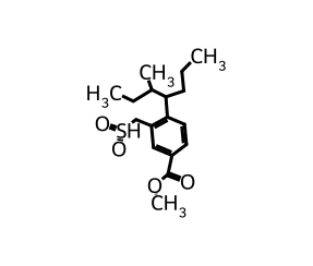 CCCC(c1ccc(C(=O)OC)cc1C[SH](=O)=O)C(C)CC